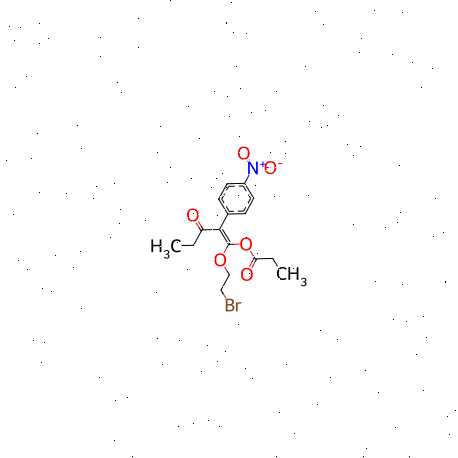 CCC(=O)OC(OCCBr)=C(C(=O)CC)c1ccc([N+](=O)[O-])cc1